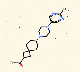 Cc1ncc(N2CCN([C@H]3CCC4(CC3)C[C@H](C(=O)C(C)C)C4)CC2)cn1